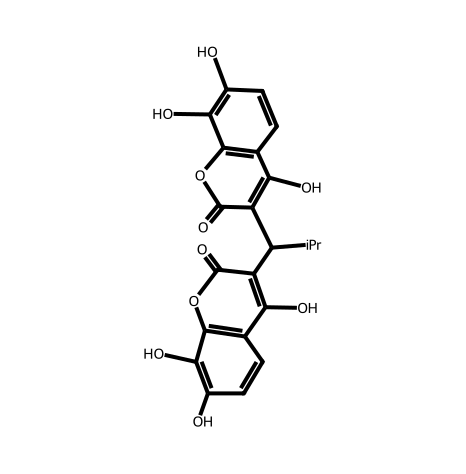 CC(C)C(c1c(O)c2ccc(O)c(O)c2oc1=O)c1c(O)c2ccc(O)c(O)c2oc1=O